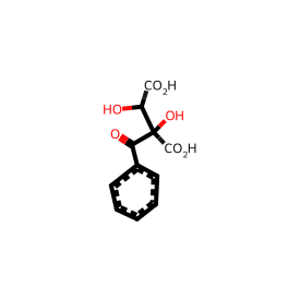 O=C(O)C(O)C(O)(C(=O)O)C(=O)c1ccccc1